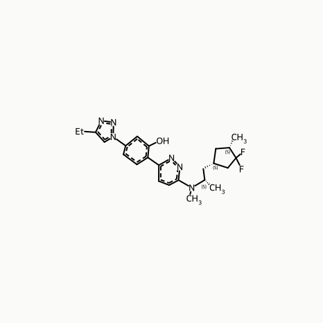 CCc1cn(-c2ccc(-c3ccc(N(C)[C@@H](C)C[C@@H]4C[C@H](C)C(F)(F)C4)nn3)c(O)c2)nn1